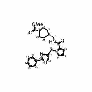 COC(=O)[C@H]1CC[C@H](CNC(=O)c2cccn2Cc2coc(-c3ccccc3)n2)CC1